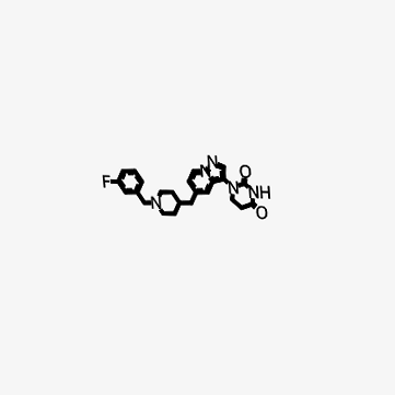 O=C1CCN(c2cnn3ccc(CC4CCN(Cc5cccc(F)c5)CC4)cc23)C(=O)N1